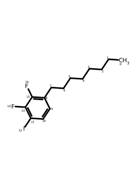 CCCCCCCCc1ccc(I)c(F)c1F